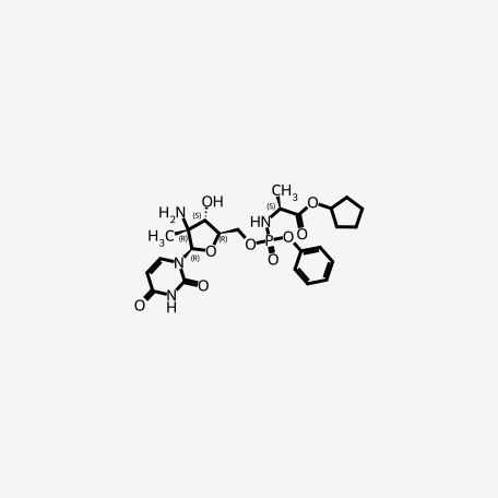 C[C@H](NP(=O)(OC[C@H]1O[C@@H](n2ccc(=O)[nH]c2=O)[C@](C)(N)[C@@H]1O)Oc1ccccc1)C(=O)OC1CCCC1